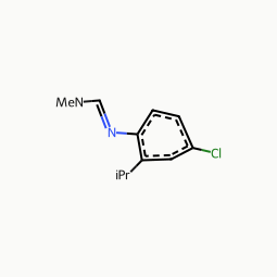 CN/C=N/c1ccc(Cl)cc1C(C)C